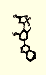 O=C1CN(c2c(O)cc(-c3cnc4ccccc4c3)cc2F)S(=O)(=O)N1